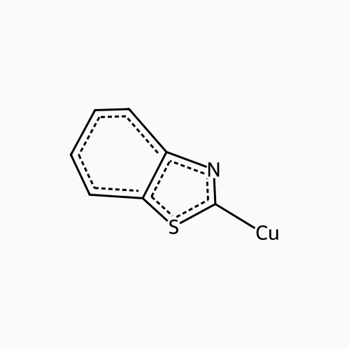 [Cu][c]1nc2ccccc2s1